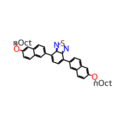 CCCCCCCCOc1ccc2cc(-c3ccc(-c4ccc5cc(OCCCCCCCC)ccc5c4)c4nsnc34)ccc2c1